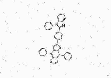 c1ccc(-c2c3cc(-c4ccc(-c5nc6ccccc6n5-c5ccccc5)cc4)sc3c(-c3ccccc3)c3ccsc23)cc1